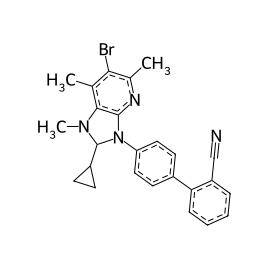 Cc1nc2c(c(C)c1Br)N(C)C(C1CC1)N2c1ccc(-c2ccccc2C#N)cc1